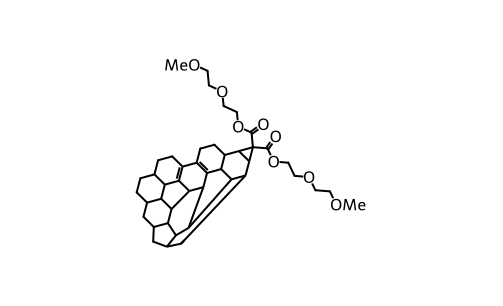 COCCOCCOC(=O)C1(C(=O)OCCOCCOC)C2C3CCC4=C5C3C3C(CC6CC7CC8CCC9CCC4=C4C9C8C8C4C5C3C6C78)C21